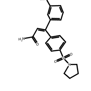 CC(=O)Oc1cccc(C(=CC(N)=O)c2ccc(S(=O)(=O)N3CCCC3)cc2)c1